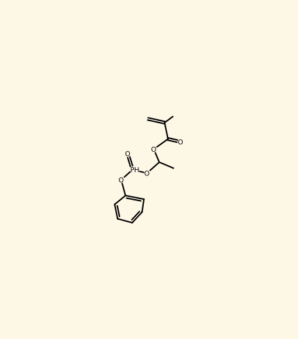 C=C(C)C(=O)OC(C)O[PH](=O)Oc1ccccc1